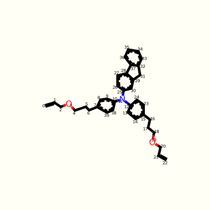 C=CCOCCCc1ccc(N(c2ccc(CCCOCC=C)cc2)c2ccc3c(c2)Cc2ccccc2-3)cc1